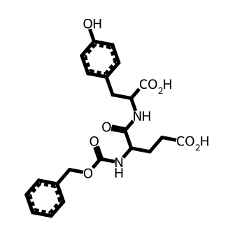 O=C(O)CCC(NC(=O)OCc1ccccc1)C(=O)NC(Cc1ccc(O)cc1)C(=O)O